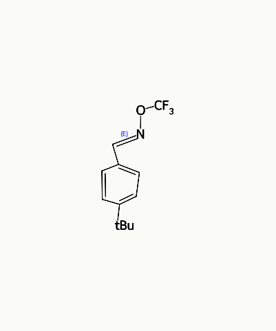 CC(C)(C)c1ccc(/C=N/OC(F)(F)F)cc1